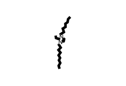 CCCCCCCCCCN1C=CN(CCCCCCCC)C1CC